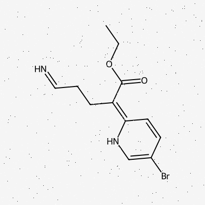 CCOC(=O)/C(CCC=N)=C1\C=CC(Br)=CN1